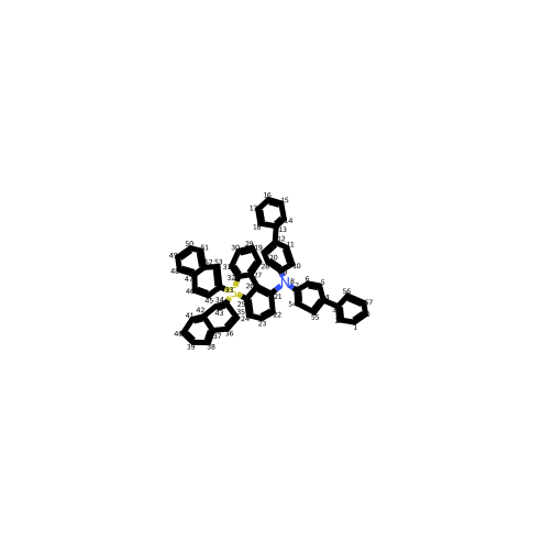 c1ccc(-c2ccc(N(c3ccc(-c4ccccc4)cc3)c3cccc4c3-c3ccccc3S4(c3ccc4ccccc4c3)c3ccc4ccccc4c3)cc2)cc1